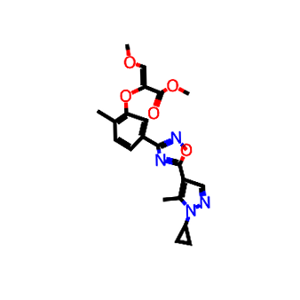 CO/C=C(\Oc1cc(-c2noc(-c3cnn(C4CC4)c3C)n2)ccc1C)C(=O)OC